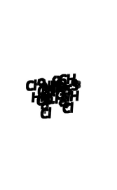 Cc1ccccc1S(=O)(=O)Nc1cc(-c2cccs2)sc1C(=O)Nc1cccc(Cl)c1.Cc1csc(C(=O)Nc2cccc(Cl)c2)c1NS(=O)(=O)c1ccc(Cl)cc1